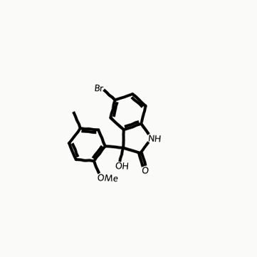 COc1ccc(C)cc1C1(O)C(=O)Nc2ccc(Br)cc21